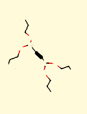 CCCO[SiH](C#C[SiH](OCCC)OCCC)OCCC